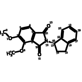 COc1ccc2c(c1OC)C(=O)N([C@H]1CCc3ccccc31)C2=O